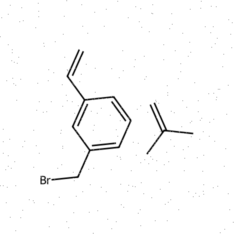 C=C(C)C.C=Cc1cccc(CBr)c1